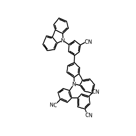 N#Cc1cc(C#N)cc(-c2cc(C#N)ccc2-n2c3ccccc3c3cc(-c4cc(C#N)cc(-n5c6ccccc6c6ccccc65)c4)ccc32)c1